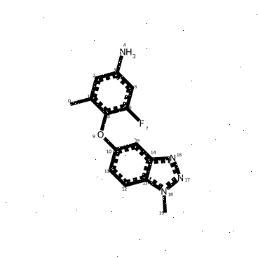 Cc1cc(N)cc(F)c1Oc1ccc2c(c1)nnn2C